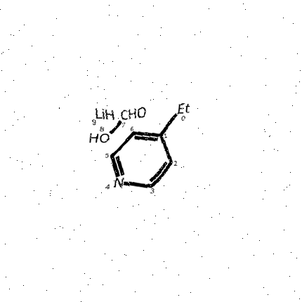 CCc1ccncc1.O=CO.[LiH]